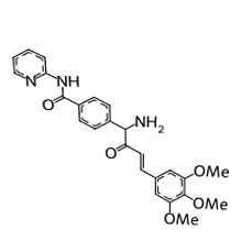 COc1cc(/C=C/C(=O)C(N)c2ccc(C(=O)Nc3ccccn3)cc2)cc(OC)c1OC